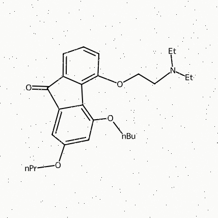 CCCCOc1cc(OCCC)cc2c1-c1c(OCCN(CC)CC)cccc1C2=O